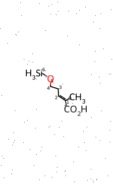 CC(=CCCO[SiH3])C(=O)O